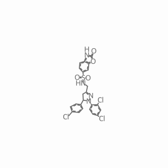 O=c1[nH]c2ccc(S(=O)(=O)NCC3=NN(c4ccc(Cl)cc4Cl)C(c4ccc(Cl)cc4)C3)cc2o1